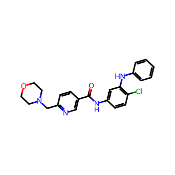 O=C(Nc1ccc(Cl)c(Nc2ccccc2)c1)c1ccc(CN2CCOCC2)nc1